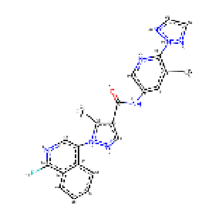 N#Cc1cc(NC(=O)c2cnn(-c3cnc(F)c4ccccc34)c2C(F)(F)F)cnc1-n1nccn1